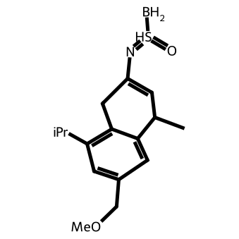 B[SH](=O)=NC1=CC(C)c2cc(COC)cc(C(C)C)c2C1